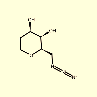 [N-]=[N+]=NC[C@H]1OCC[C@@H](O)[C@H]1O